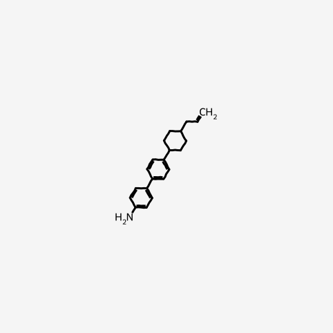 C=CCC1CCC(c2ccc(-c3ccc(N)cc3)cc2)CC1